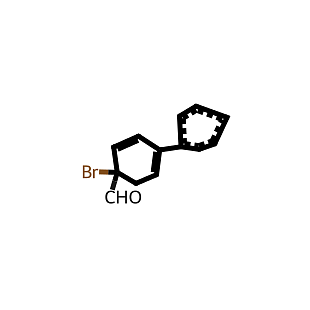 O=CC1(Br)C=CC(c2ccccc2)=CC1